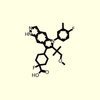 COCC(C)(C)c1c(C2CCC(F)(C(=O)O)CC2)c2cc3[nH]ncc3cc2n1-c1ccc(F)c(C)c1